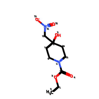 CCOC(=O)N1CCC(O)(C[N+](=O)[O-])CC1